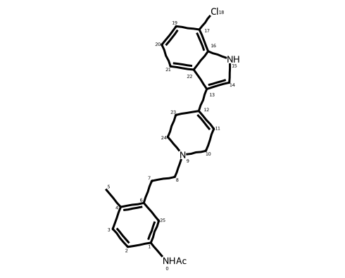 CC(=O)Nc1ccc(C)c(CCN2CC=C(c3c[nH]c4c(Cl)cccc34)CC2)c1